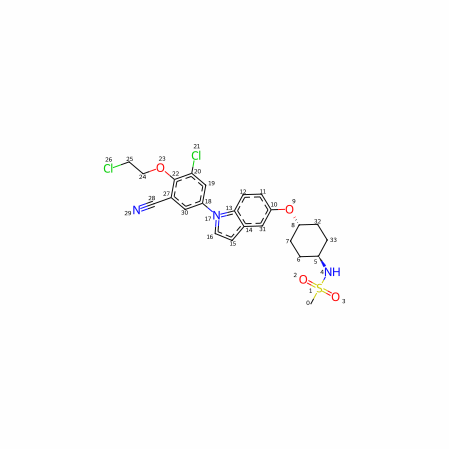 CS(=O)(=O)N[C@H]1CC[C@H](Oc2ccc3c(ccn3-c3cc(Cl)c(OCCCl)c(C#N)c3)c2)CC1